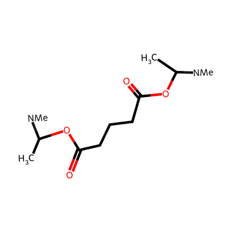 CNC(C)OC(=O)CCCC(=O)OC(C)NC